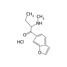 CCC(NC)C(=O)c1ccc2ccoc2c1.Cl